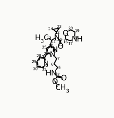 COC(=O)NCCCn1nc([C@@H](C)N(C(=O)[C@H]2CNCCO2)C2CC2)cc1-c1ccccn1